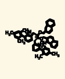 Cc1cc(C)c(-c2cccc(C[C@@H](OCc3ccc4ccccc4c3)[C@@H](Cc3cccc(-c4c(C)cc(C)cc4C)c3O)OCc3ccc4ccccc4c3)c2O)c(C)c1